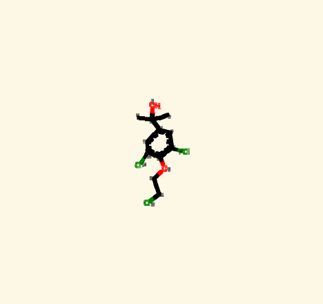 CC(C)(O)c1cc(Cl)c(OCCCl)c(Cl)c1